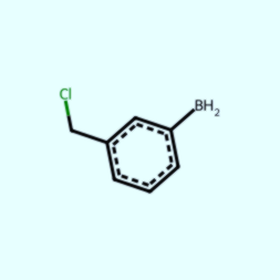 Bc1cccc(CCl)c1